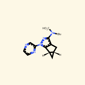 CC(C)(C)N(C(=O)O)c1nn(-c2cnccn2)c2c1C[C@@H]1C[C@H]21